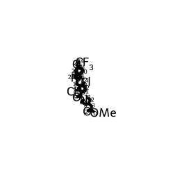 COC(=O)CC1CCN(C(=O)c2ccc(Cl)c(Cc3cc4ccc(OC(F)(F)F)cc4n3C)c2Cl)CC1